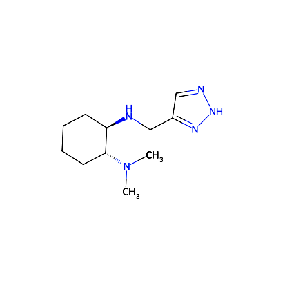 CN(C)[C@@H]1CCCC[C@H]1NCc1cn[nH]n1